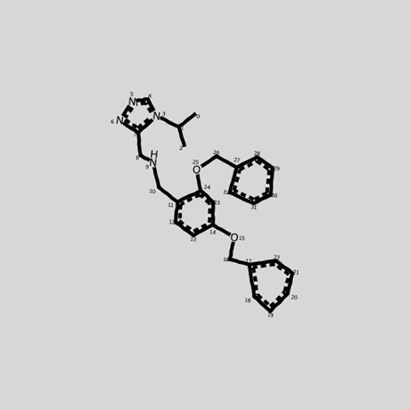 CC(C)n1cnnc1CNCc1ccc(OCc2ccccc2)cc1OCc1ccccc1